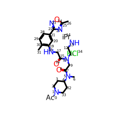 CC(=O)N1CCC(N(C)C(=O)CN(CCNC(C)C)C(=O)CNc2cc(-c3noc(C)n3)ccc2C)CC1.Cl